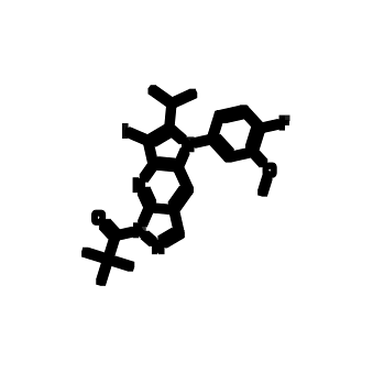 COc1cc(-n2c(C(C)C)c(I)c3nc4c(cnn4C(=O)C(C)(C)C)cc32)ccc1F